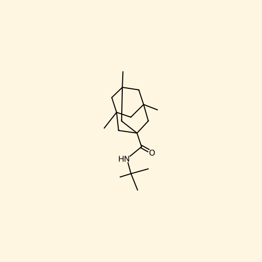 CC12CC3(C)CC(C)(C1)CC(C(=O)NC(C)(C)C)(C2)C3